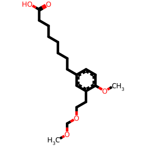 COCOCCc1cc(CCCCCCCC(=O)O)ccc1OC